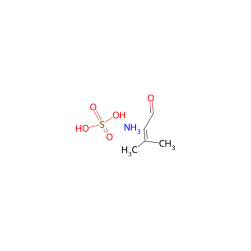 CC(C)=CC=O.N.O=S(=O)(O)O